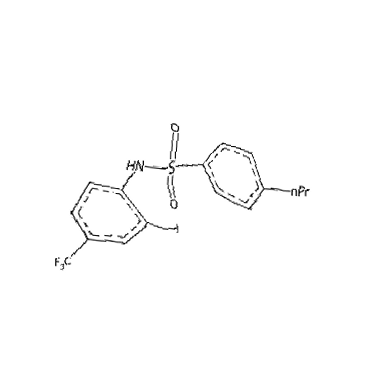 CCCc1ccc(S(=O)(=O)Nc2ccc(C(F)(F)F)cc2I)cc1